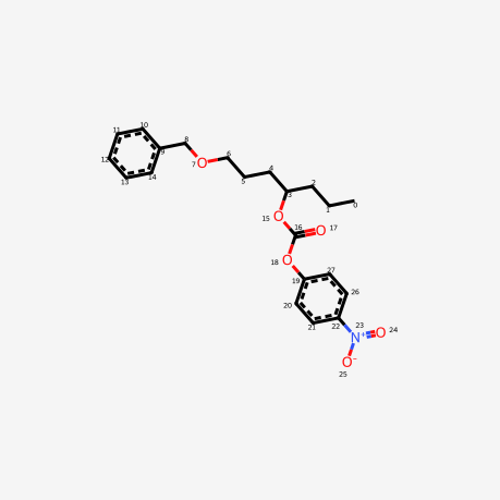 CCCC(CCCOCc1ccccc1)OC(=O)Oc1ccc([N+](=O)[O-])cc1